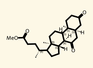 COC(=O)CC[C@@H](C)C1CC[C@H]2[C@@H]3C(=O)C[C@@H]4CC(=O)CC[C@]4(C)[C@H]3CC[C@]12C